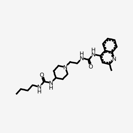 CCCCNC(=O)NC1CCN(CCNC(=O)Nc2cc(C)nc3ccccc23)CC1